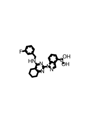 OB(O)c1cccc2c1cnn2-c1nc2c(c(NCc3cccc(F)c3)n1)CCCC2